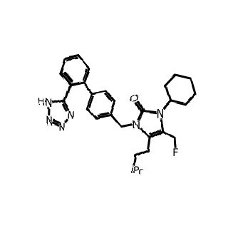 CC(C)CCc1c(CF)n(C2CCCCC2)c(=O)n1Cc1ccc(-c2ccccc2-c2nnn[nH]2)cc1